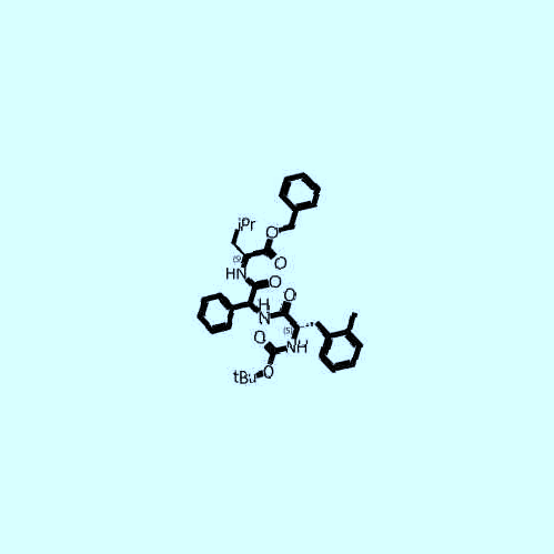 Cc1ccccc1C[C@H](NC(=O)OC(C)(C)C)C(=O)NC(C(=O)N[C@@H](CC(C)C)C(=O)OCc1ccccc1)c1ccccc1